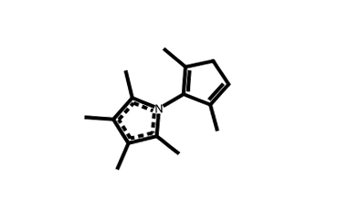 CC1=CCC(C)=C1n1c(C)c(C)c(C)c1C